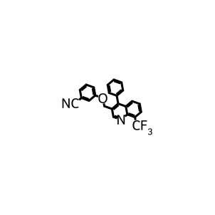 N#Cc1cccc(OCc2cnc3c(C(F)(F)F)cccc3c2-c2ccccc2)c1